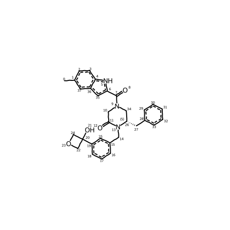 Cc1ccc2[nH]c(C(=O)N3CC(=O)N(Cc4cccc(C5(O)COC5)c4)[C@@H](Cc4ccccc4)C3)cc2c1